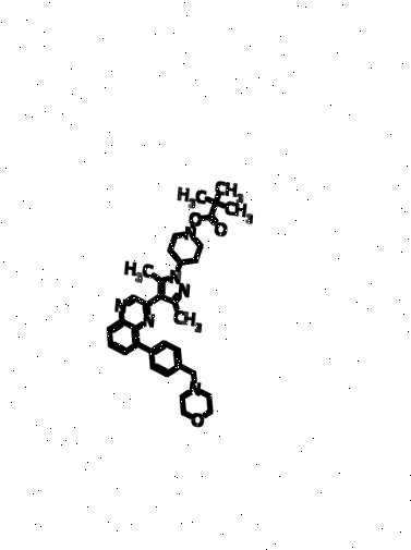 Cc1nn(C2CCN(OC(=O)C(C)(C)C)CC2)c(C)c1-c1cnc2cccc(-c3ccc(CN4CCOCC4)cc3)c2n1